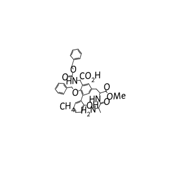 C.COC(=O)C(Cc1cc(-c2ccccc2O)c(OCc2ccccc2)c(C(NC(=O)OCc2ccccc2)C(=O)O)c1)NC(=O)C(C)N